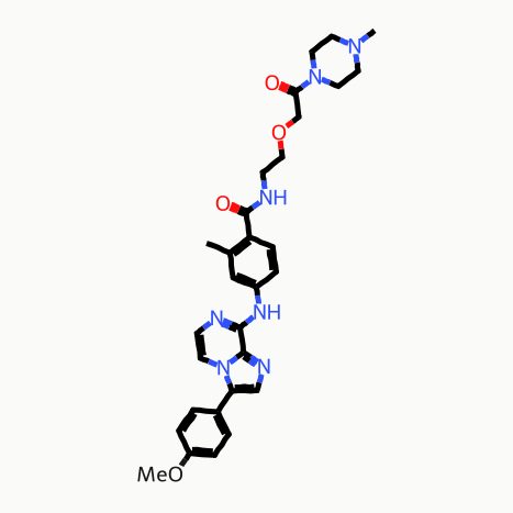 COc1ccc(-c2cnc3c(Nc4ccc(C(=O)NCCOCC(=O)N5CCN(C)CC5)c(C)c4)nccn23)cc1